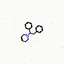 C1=CCN(C(Cc2ccccc2)c2ccccc2)CC1